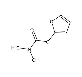 CN(O)C(=O)Oc1ccco1